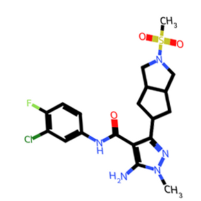 Cn1nc(C2CC3CN(S(C)(=O)=O)CC3C2)c(C(=O)Nc2ccc(F)c(Cl)c2)c1N